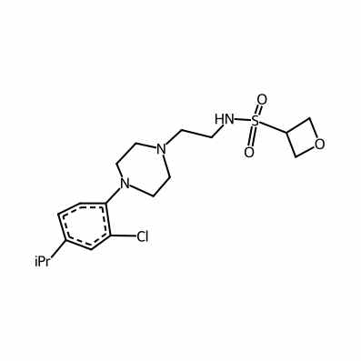 CC(C)c1ccc(N2CCN(CCNS(=O)(=O)C3COC3)CC2)c(Cl)c1